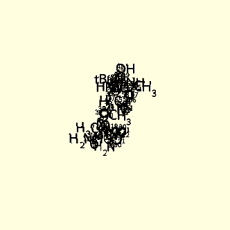 Cc1cc(CO[C@H](C)[C@H](CCC(N)=O)NC(=O)[C@@H]2Cc3cccc4c3N2C(O)[C@@H](N)CC4)ccc1CCCCC(=O)NC(C(=O)N1C[C@H](O)C[C@H]1C(=O)N[C@@H](C)c1ccc(-c2scnc2C)cc1)C(C)(C)C